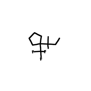 CCC(C)(C)C1(C(F)(F)F)CCCC1